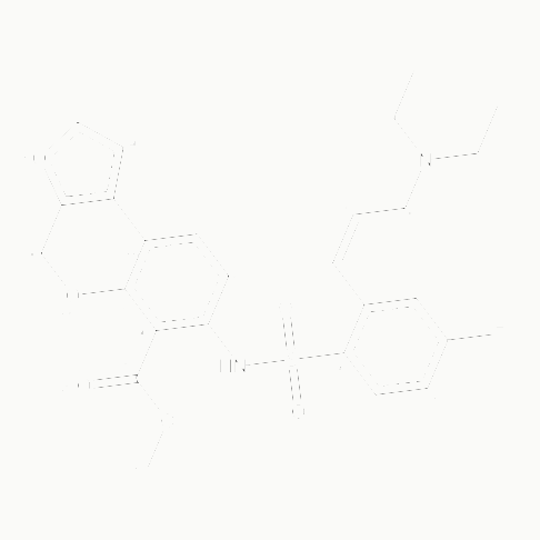 CCN(CC)C/C=C\c1cc(F)ccc1S(=O)(=O)Nc1ccc2c(c1C(=O)OC)OCc1occc1-2